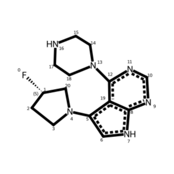 F[C@H]1CCN(c2c[nH]c3ncnc(N4CCNCC4)c23)C1